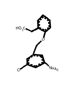 CC(=O)Nc1cc(Cl)cc(COc2ccccc2CC(=O)O)c1